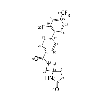 O=C1CCC2(CN(C(=O)c3ccc(-c4ccc(C(F)(F)F)cc4F)cc3)C2)N1